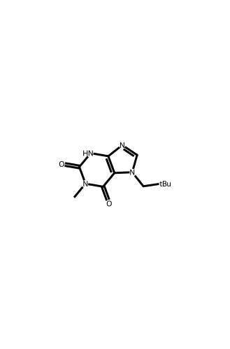 Cn1c(=O)[nH]c2ncn(CC(C)(C)C)c2c1=O